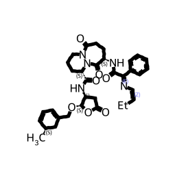 CC/C=C\N=C(\C(=O)N[C@H]1CCC(=O)N2CCC[C@@H](C(=O)N[C@H]3CC(=O)O[C@@H]3OCC3=CC=C[C@@H](C)C3)N2C1=O)c1ccccc1